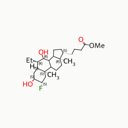 CC[C@H]1[C@@H](O)C2C3CC[C@H](CCCC(=O)OC)[C@@]3(C)CCC2[C@@]2(C)C[C@H](F)[C@@H](O)C[C@@H]12